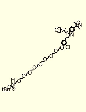 Cc1noc(C)c1-c1ccc2c(c1)nc(CCc1ccc(OCCOCCOCCOCCOCCOCCOCCOCCOCCNC(=O)OC(C)(C)C)c(Cl)c1)n2C[C@H](C)N1CCOCC1